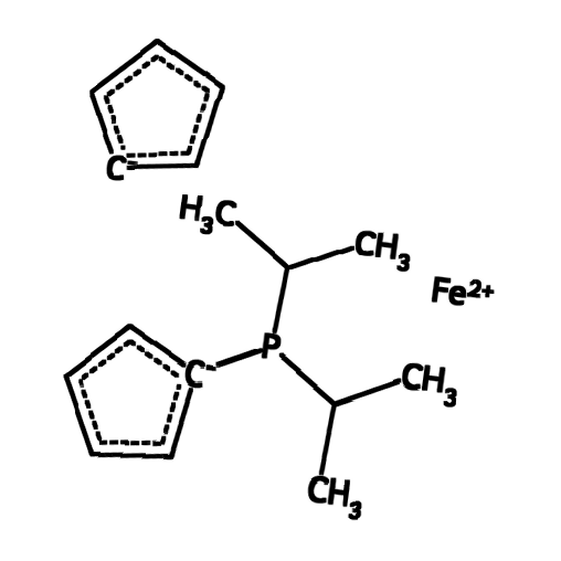 CC(C)P([c-]1cccc1)C(C)C.[Fe+2].c1cc[cH-]c1